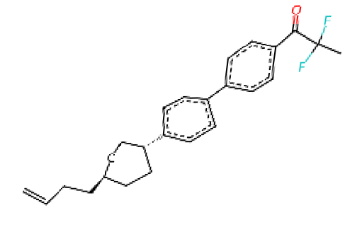 C=CCC[C@H]1CC[C@H](c2ccc(-c3ccc(C(=O)C(C)(F)F)cc3)cc2)CC1